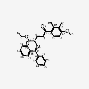 CCOC(=O)[C@@H](CCC(=O)c1ccc(OC)c(C)c1C)N=C(c1ccccc1)c1ccccc1